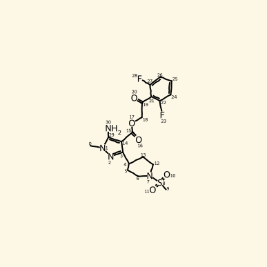 Cn1nc(C2CCN(S(C)(=O)=O)CC2)c(C(=O)OCC(=O)c2c(F)cccc2F)c1N